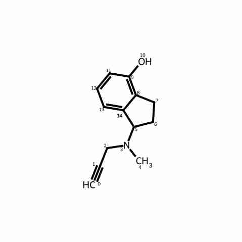 C#CCN(C)C1CCc2c(O)cccc21